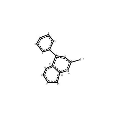 Ic1cc(-c2ccccc2)c2ccccc2n1